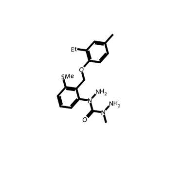 CCc1cc(C)ccc1OCc1c(SC)cccc1N(N)C(=O)N(C)N